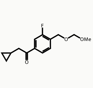 COCOCc1ccc(C(=O)CC2CC2)cc1F